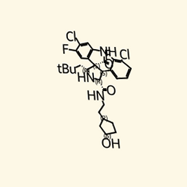 CC(C)(C)C[C@H]1N[C@@H](C(=O)NCC[C@H]2CC[C@H](O)C2)[C@H](c2cccc(Cl)c2F)[C@@]12C(=O)Nc1cc(Cl)c(F)cc12